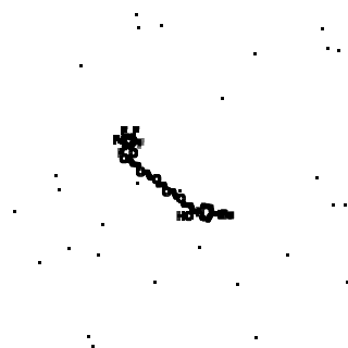 CC(C)(C)C1CCN(C(O)CCOCCOCCOCCOCCC(=O)Oc2c(F)c(F)c(F)c(F)c2F)CC1